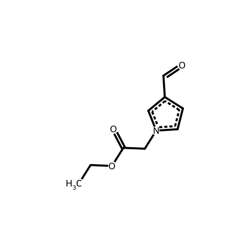 CCOC(=O)Cn1ccc(C=O)c1